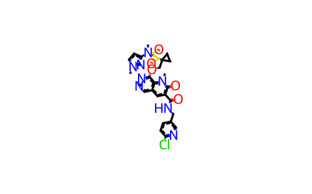 CN(c1ccn(C)n1)S(=O)(=O)C1(COc2nncc3cc(C(=O)NCc4ccc(Cl)nc4)c(=O)n(C)c23)CC1